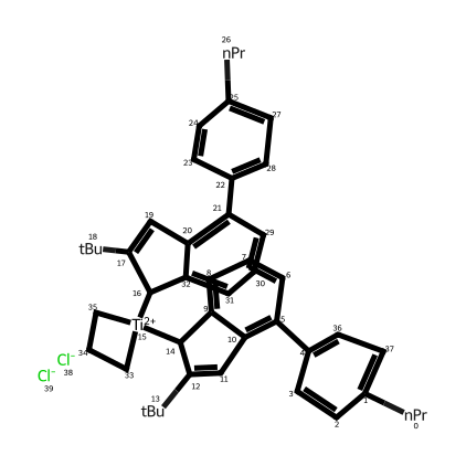 CCCc1ccc(-c2cccc3c2C=C(C(C)(C)C)[CH]3[Ti+2]2([CH]3C(C(C)(C)C)=Cc4c(-c5ccc(CCC)cc5)cccc43)[CH2]C[CH2]2)cc1.[Cl-].[Cl-]